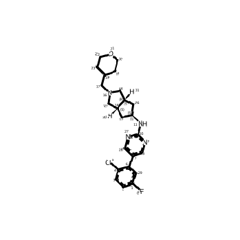 Fc1ccc(Cl)c(-c2cnc(N[C@H]3C[C@@H]4CN(CC5CCOCC5)C[C@@H]4C3)nc2)c1